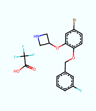 Fc1cccc(COc2ccc(Br)cc2OC2CNC2)c1.O=C(O)C(F)(F)F